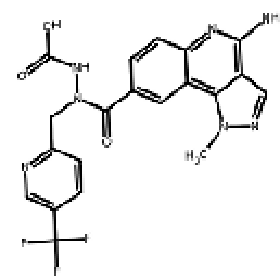 Cn1ncc2c(N)nc3ccc(C(=O)N(Cc4ccc(C(F)(F)F)cn4)NC(=O)O)cc3c21